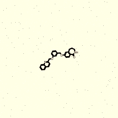 O=C1NCCCc2cc(OCc3cccc(OCc4ccc5ccccc5n4)c3)ccc21